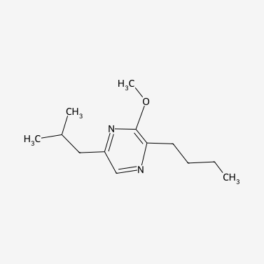 CCCCc1ncc(CC(C)C)nc1OC